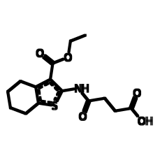 CCOC(=O)c1c(NC(=O)CCC(=O)O)sc2c1CCCC2